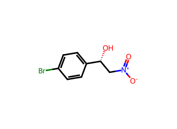 O=[N+]([O-])C[C@@H](O)c1ccc(Br)cc1